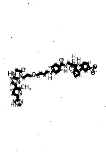 Cc1nc(-c2nc[nH]n2)ccc1-c1cnc2c(n1)N(CCCOCCCCNc1ccc(C(=O)NCC(C)(C)C3Nc4ccc([N+](=O)[O-])cc4C4CCCC43)cc1)C(=O)CN2